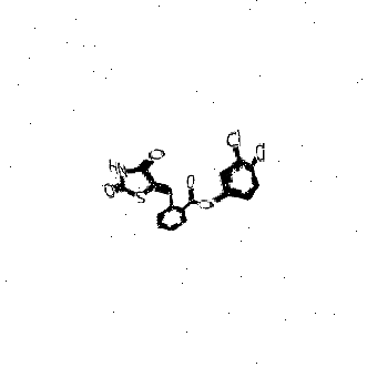 O=C1NC(=O)C(=Cc2ccccc2C(=O)Oc2ccc(Cl)c(Cl)c2)S1